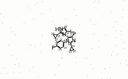 Fc1ccc(-n2cc(I)nc2C2CC2)cc1.Ic1c[nH]c(C2CC2)n1